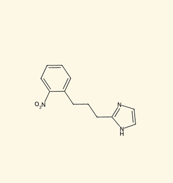 O=[N+]([O-])c1ccccc1CCCc1ncc[nH]1